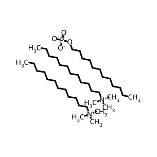 CCCCCCCCCCCCOP(=O)([O-])[O-].CCCCCCCCCCCC[N+](C)(C)C.CCCCCCCCCCCC[N+](C)(C)C